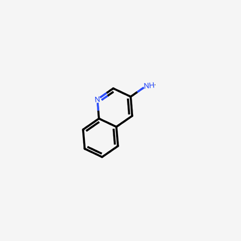 [NH]c1cnc2ccccc2c1